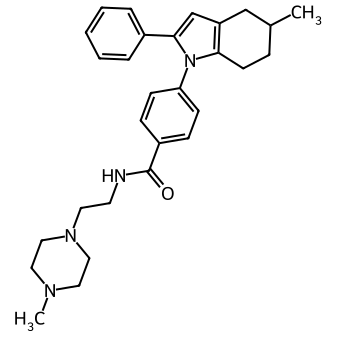 CC1CCc2c(cc(-c3ccccc3)n2-c2ccc(C(=O)NCCN3CCN(C)CC3)cc2)C1